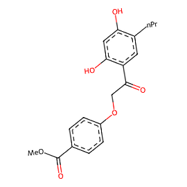 CCCc1cc(C(=O)COc2ccc(C(=O)OC)cc2)c(O)cc1O